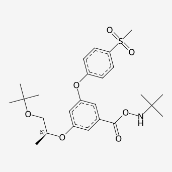 C[C@@H](COC(C)(C)C)Oc1cc(Oc2ccc(S(C)(=O)=O)cc2)cc(C(=O)ONC(C)(C)C)c1